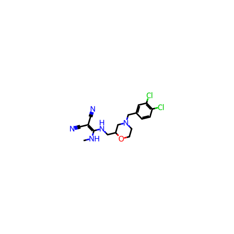 CNC(NCC1CN(Cc2ccc(Cl)c(Cl)c2)CCO1)=C(C#N)C#N